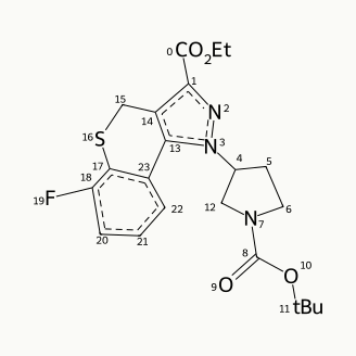 CCOC(=O)c1nn(C2CCN(C(=O)OC(C)(C)C)C2)c2c1CSc1c(F)cccc1-2